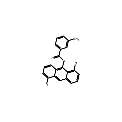 Cc1cccc(C(=O)Oc2c3cccc(Cl)c3cc3cccc(Cl)c23)c1